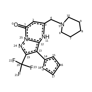 O=c1cc(CN2CCCCC2)[nH]c2c(-c3cccs3)c(C(F)(F)F)nn12